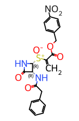 C=C(C(=O)OCc1ccc([N+](=O)[O-])cc1)[S+]([O-])[C@H]1NC(=O)[C@H]1NC(=O)Cc1ccccc1